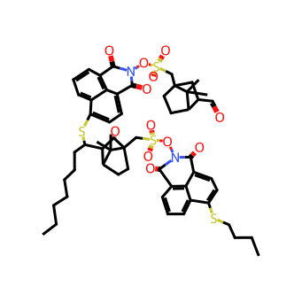 CCCCCCCC(Sc1ccc2c3c(cccc13)C(=O)N(OS(=O)(=O)CC13CCC(C(C=O)C1)C3(C)C)C2=O)C1C(=O)C2(CS(=O)(=O)ON3C(=O)c4cccc5c(SCCCC)ccc(c45)C3=O)CCC1C2(C)C